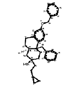 O[C@]1(CCC2CC2)CC[C@@]2(Cc3ccccc3)c3ccc(OCc4ccccc4)cc3CC[C@@H]2C1